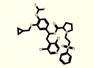 O=C(OC(Cc1c(Cl)cncc1Cl)c1ccc(OC(F)F)c(OCC2CC2)c1)C1CCCN1CCS(=O)(=O)c1ccccc1